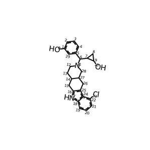 Oc1cccc(C(C2CC2O)N2CCC3Cc4[nH]c5cccc(Cl)c5c4CC3C2)c1